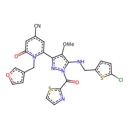 COc1c(-c2cc(C#N)cc(=O)n2Cc2ccoc2)nn(C(=O)c2nccs2)c1NCc1ccc(Cl)s1